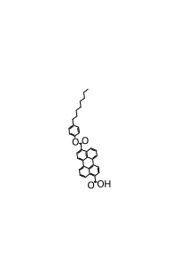 CCCCCCCCc1ccc(OC(=O)c2ccc3c4cccc5c(C(=O)O)ccc(c6cccc2c63)c54)cc1